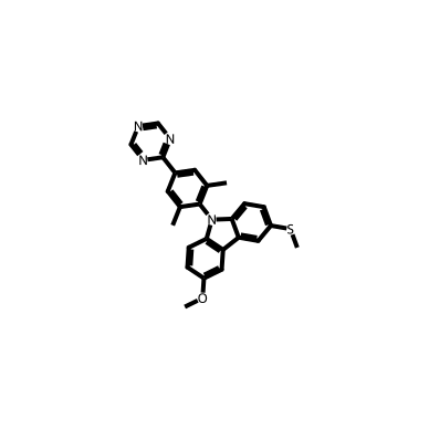 COc1ccc2c(c1)c1cc(SC)ccc1n2-c1c(C)cc(-c2ncncn2)cc1C